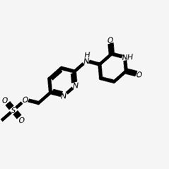 CS(=O)(=O)OCc1ccc(NC2CCC(=O)NC2=O)nn1